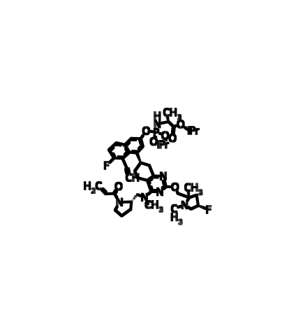 C#Cc1c(F)ccc2cc(OP(=O)(N[C@@H](C)C(=O)OC(C)C)OC(C)C)cc([C@@H]3CCc4c(nc(OC[C@]5(C)C[C@@H](F)CN5C)nc4N(C)C[C@@H]4CCCN4C(=O)C=C)C3)c12